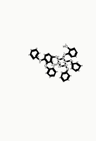 Oc1ccccc1On1p(Oc2ccc(Oc3ccccc3)c(Oc3ccccc3)c2O)npn(Oc2ccccc2)p1Oc1ccccc1